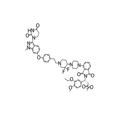 CCOc1cc([C@@H](CS(C)(=O)=O)N2C(=O)c3cccc(N4CCN([C@@H]5CCN(CCc6ccc(Oc7ccc8c(N9CCC(=O)NC9=O)nn(C)c8c7)cc6)CC5(F)F)CC4)c3C2=O)ccc1OC